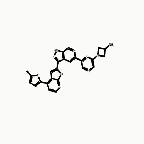 Cc1ccc(-c2ccnc3[nH]c(-c4n[nH]c5cnc(-c6cncc(N7CC(N)C7)n6)cc45)cc23)s1